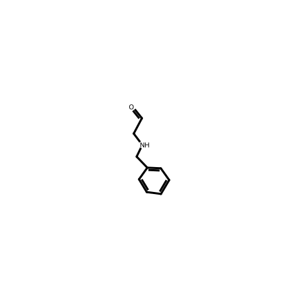 O=CCNCc1ccccc1